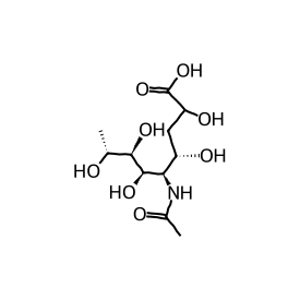 CC(=O)N[C@@H]([C@@H](O)[C@H](O)[C@@H](C)O)[C@@H](O)CC(O)C(=O)O